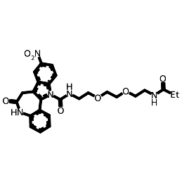 CCC(=O)NCCOCCOCCNC(=O)n1c2c(c3cc([N+](=O)[O-])ccc31)CC(=O)Nc1ccccc1-2